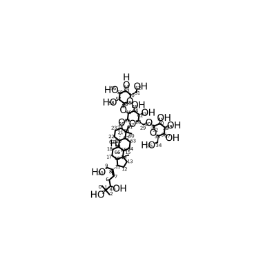 CC(C)(O)C(O)C/C=C(\CO)[C@H]1CC[C@]2(C)C1CC[C@@H]1[C@@]3(C)CC[C@H](O[C@@H]4O[C@H](COC5O[C@H](CO)[C@@H](O)[C@H](O)[C@H]5O)[C@@H](O)[C@H](O)[C@H]4OC4O[C@H](CO)[C@@H](O)[C@H](O)[C@H]4O)C(C)(C)C3CC[C@]12C